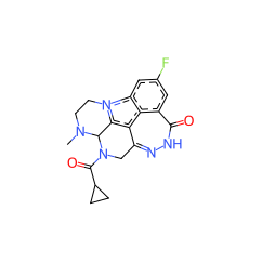 CN1CCn2c3c4c5c(cc(F)cc52)C(=O)NN=C4CN(C(=O)C2CC2)C31